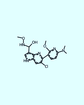 CONC(O)c1c[nH]c2cc(Cl)c(-c3ccc(N(C)C)nc3OC)nc12